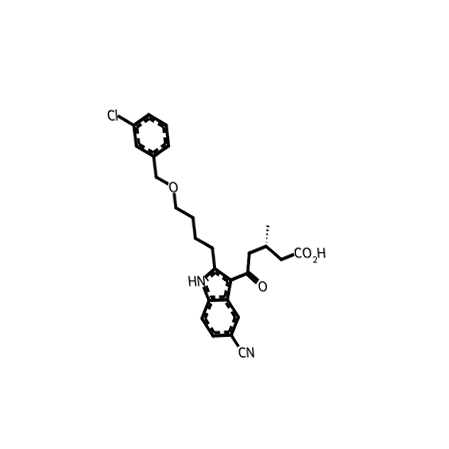 C[C@H](CC(=O)O)CC(=O)c1c(CCCCOCc2cccc(Cl)c2)[nH]c2ccc(C#N)cc12